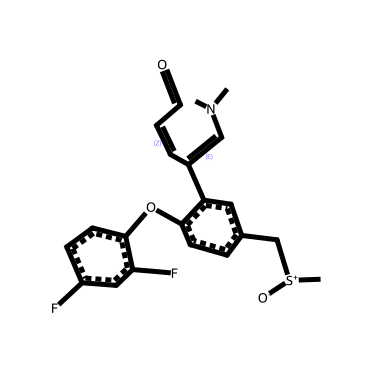 CN(C)/C=C(\C=C/C=O)c1cc(C[S+](C)[O-])ccc1Oc1ccc(F)cc1F